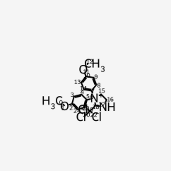 COc1ccc([N+]2(c3ccc(OC)cc3)CCNC2C(Cl)(Cl)Cl)cc1